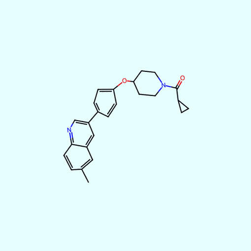 Cc1ccc2ncc(-c3ccc(OC4CCN(C(=O)C5CC5)CC4)cc3)cc2c1